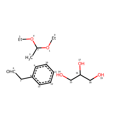 CCOC(C)OCC.O=CCc1ccccc1.OCC(O)CO